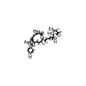 CC[C@H](O)[C@@H](C)C1(C)O[C@@H]1CC(C)(O)/C=C/C=C(\C)[C@H]1OC(=O)C[C@H](O)CC[C@@](C)(OC(C)=O)[C@@H](OC(=O)N2CCNCC2)/C=C/[C@@H]1C